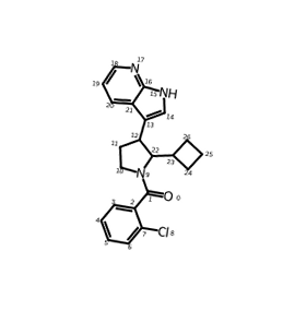 O=C(c1ccccc1Cl)N1CCC(c2c[nH]c3ncccc23)C1C1CCC1